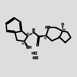 Cl.Cl.O=C(N[C@H]1c2ccccc2C[C@@H]1O)[C@@H]1CN2CCC[C@@H]2CN1